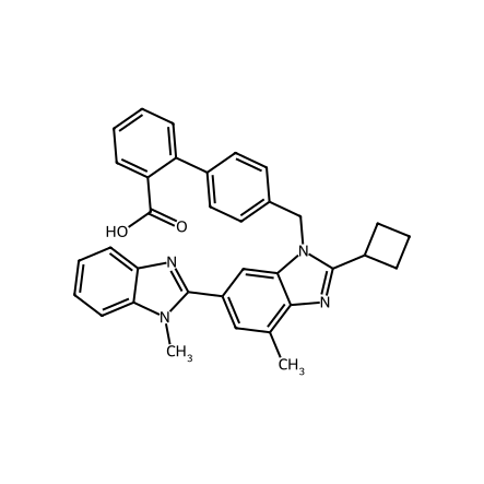 Cc1cc(-c2nc3ccccc3n2C)cc2c1nc(C1CCC1)n2Cc1ccc(-c2ccccc2C(=O)O)cc1